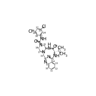 CC(C)[C@@H]1Nc2nc(nc3ccccc23)CN2CCN(C(=O)Nc3cc(Cl)cc(Cl)c3)CC2NC1=O